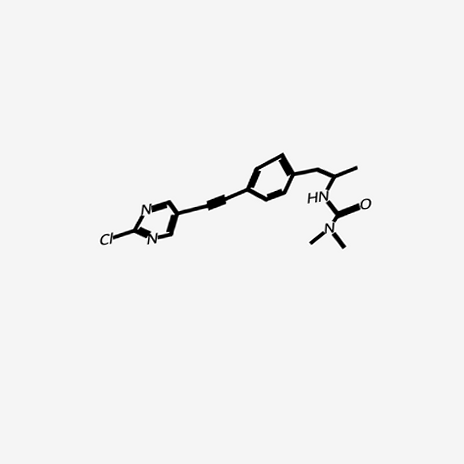 CC(Cc1ccc(C#Cc2cnc(Cl)nc2)cc1)NC(=O)N(C)C